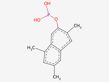 Cc1cc(C)c2cc(OP(O)O)c(C)cc2c1